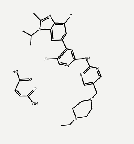 CCN1CCN(Cc2cnc(Nc3cc(-c4cc(F)c5nc(C)n(C(C)C)c5c4)c(F)cn3)nc2)CC1.O=C(O)/C=C\C(=O)O